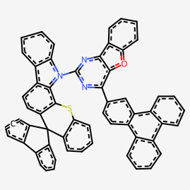 c1ccc2c(c1)Sc1c(ccc3c4ccccc4n(-c4nc(-c5ccc6c7ccccc7c7ccccc7c6c5)c5oc6ccccc6c5n4)c13)C21c2ccccc2-c2ccccc21